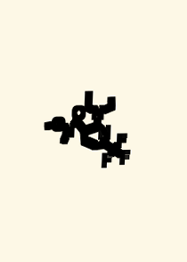 CCN(CC)c1nc(C(F)(F)F)ccc1C(=O)N(C)OC